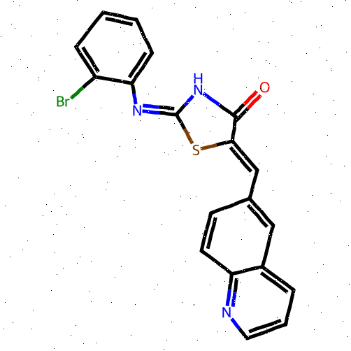 O=C1N/C(=N\c2ccccc2Br)S/C1=C\c1ccc2ncccc2c1